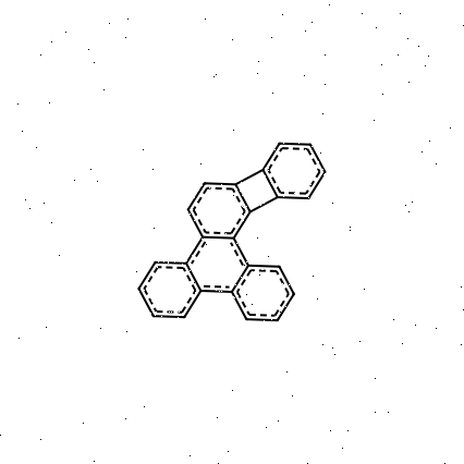 c1ccc2c(c1)-c1ccc3c4ccccc4c4ccccc4c3c1-2